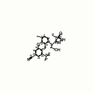 Cc1ccc(C(CO)c2n[nH]c(=O)n2C)c(F)c1Oc1cc(C#N)cc(C(F)F)c1